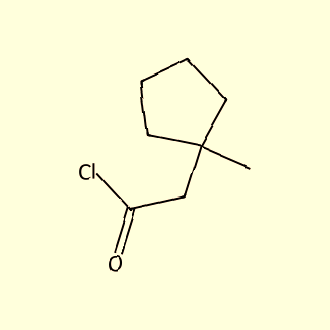 CC1(CC(=O)Cl)CCCC1